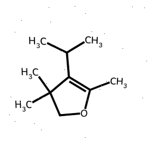 CC1=C(C(C)C)C(C)(C)CO1